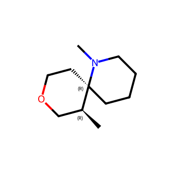 C[C@H]1COCC[C@]12CCCCN2C